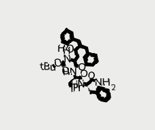 CC(C)C[C@@H](NC(=O)C(C[C@@H](O)C(Cc1ccccc1)Cc1ccccc1)NC(=O)OC(C)(C)C)C(=O)N[C@@H](Cc1ccccc1)C(N)=O